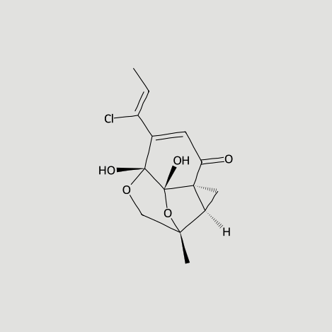 C/C=C(\Cl)C1=CC(=O)[C@@]23C[C@H]2[C@]2(C)CO[C@@]1(O)[C@@]3(O)O2